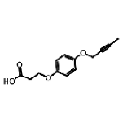 CC#CCOc1ccc(OCCC(=O)O)cc1